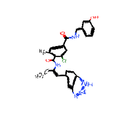 Cc1cc(C(=O)NCc2cccc(O)c2)cc(Cl)c1C(=O)N/C(=C\c1ccc2[nH]nnc2c1)C(=O)O